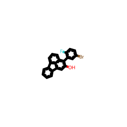 Oc1cc2c3c(cccc3c1-c1cc(Br)ccc1F)-c1ccccc1-2